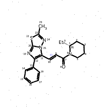 CC[C@@H]1CCCCN1C(=O)/C=C/c1c(-c2ccccc2)nc2sc(C)nn12